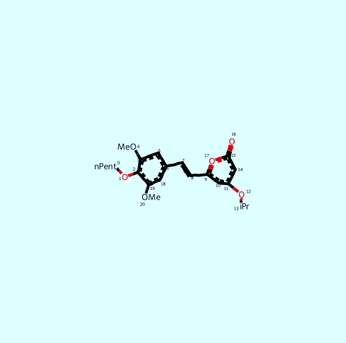 CCCCCOc1c(OC)cc(C=Cc2cc(OC(C)C)cc(=O)o2)cc1OC